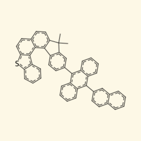 CC1(C)c2cc(-c3c4ccccc4c(-c4ccc5ccccc5c4)c4ccccc34)ccc2-c2c1ccc1ccc3sc4ccccc4c3c21